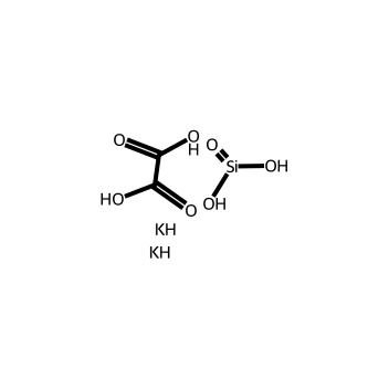 O=C(O)C(=O)O.O=[Si](O)O.[KH].[KH]